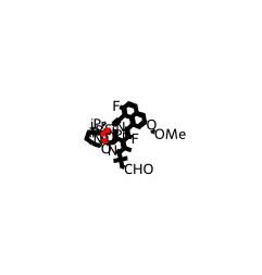 COCOc1cc(-c2ncc3c(N4CC5CCC(C4)N5C(=O)OC(C)(C)C)nc(C(C)(C)CC=O)c(C)c3c2F)c2c(C#C[Si](C(C)C)(C(C)C)C(C)C)c(F)ccc2c1